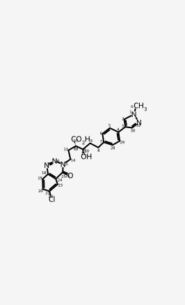 Cn1cc(-c2ccc(CC[C@@H](O)[C@H](CCn3nnc4ccc(Cl)cc4c3=O)C(=O)O)cc2)cn1